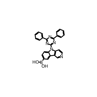 OB(O)c1ccc2c(c1)c1cnccc1n2-c1nc(-c2ccccc2)nc(-c2ccccc2)n1